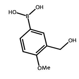 COc1ccc(B(O)O)cc1CO